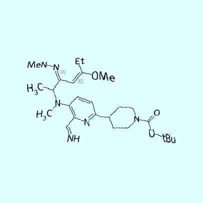 CC/C(=C\C(=N\NC)C(C)N(C)c1ccc(C2CCN(C(=O)OC(C)(C)C)CC2)nc1C=N)OC